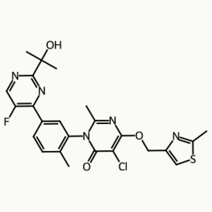 Cc1nc(COc2nc(C)n(-c3cc(-c4nc(C(C)(C)O)ncc4F)ccc3C)c(=O)c2Cl)cs1